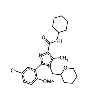 COc1ccc(Cl)cc1-c1nc(C(=O)NC2CCCCC2)c(C)n1CC1CCCCO1